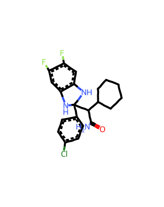 NC(=O)C(C1CCCCC1)C1(c2ccc(Cl)cc2)Nc2cc(F)c(F)cc2N1